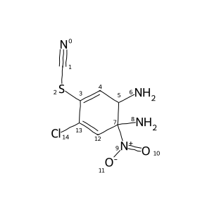 N#CSC1=CC(N)C(N)([N+](=O)[O-])C=C1Cl